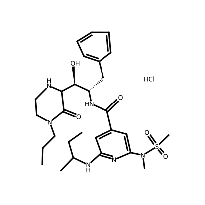 CCCN1CCNC([C@@H](O)[C@H](Cc2ccccc2)NC(=O)c2cc(NC(C)CC)nc(N(C)S(C)(=O)=O)c2)C1=O.Cl